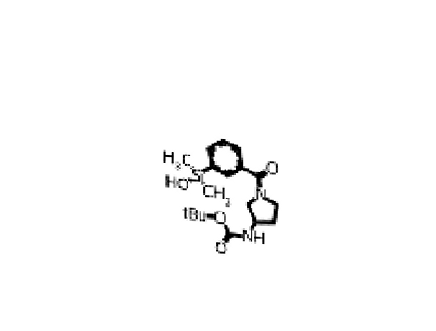 CC(C)(C)OC(=O)NC1CCN(C(=O)c2cccc([Si](C)(C)O)c2)C1